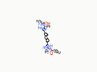 CC(C)[C@H](NC(=O)C(C)(C)C)c1nc(-c2ccc3c(c2)Cc2cc(-c4c[nH]c([C@@H](NC(O)C(C)(C)C)C(C)C)n4)ccc2-3)c[nH]1